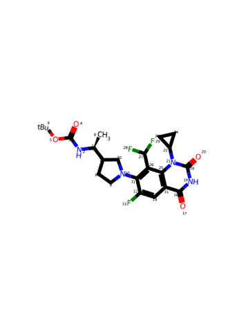 C[C@H](NC(=O)OC(C)(C)C)C1CCN(c2c(F)cc3c(=O)[nH]c(=O)n(C4CC4)c3c2C(F)F)C1